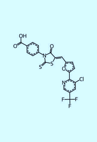 O=C(O)c1ccc(N2C(=O)C(=Cc3ccc(-c4ncc(C(F)(F)F)cc4Cl)o3)SC2=S)cc1